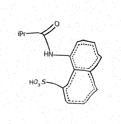 CC(C)C(=O)Nc1cccc2cccc(S(=O)(=O)O)c12